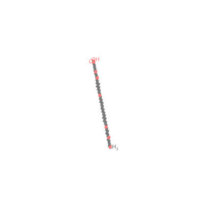 CCCCCCCCCCCCCCCCCCCCCCCCCCCCCCCCCCCCCCCCCCCCCCCCCCCCCCCC(=O)O